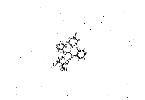 Cc1ccccc1C(C)COc1nsnc1C1=CCCN(C)C1.O=C(O)C(=O)O